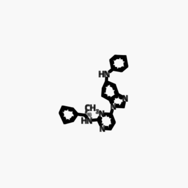 C[C@H](Nc1nccc(-n2cnc3cc(Nc4ccccc4)ccc32)n1)c1ccccc1